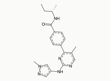 CC[C@H](C)NC(=O)c1ccc(-c2nc(Nc3cnn(C)c3)ncc2C)cc1